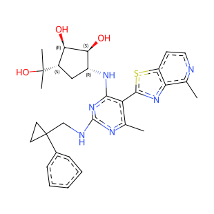 Cc1nc(NCC2(c3ccccc3)CC2)nc(N[C@@H]2C[C@H](C(C)(C)O)[C@@H](O)[C@H]2O)c1-c1nc2c(C)nccc2s1